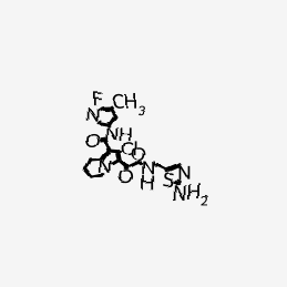 Cc1cc(NC(=O)c2c(Cl)c(C(=O)C(=O)NCc3cnc(N)s3)n3c2CCCC3)cnc1F